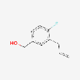 C=CCc1cc(CO)ccc1F